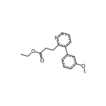 CCOC(=O)CCc1ncccc1-c1cccc(OC)c1